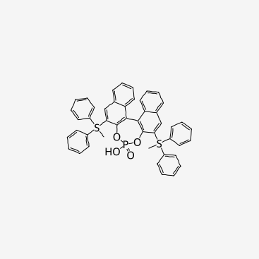 CS(c1ccccc1)(c1ccccc1)c1cc2ccccc2c2c1OP(=O)(O)Oc1c(S(C)(c3ccccc3)c3ccccc3)cc3ccccc3c1-2